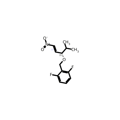 CC(C)[C@@H](/C=C/[N+](=O)[O-])OCc1c(F)cccc1F